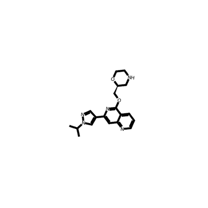 CC(C)n1cc(-c2cc3ncccc3c(OC[C@@H]3CNCCO3)n2)cn1